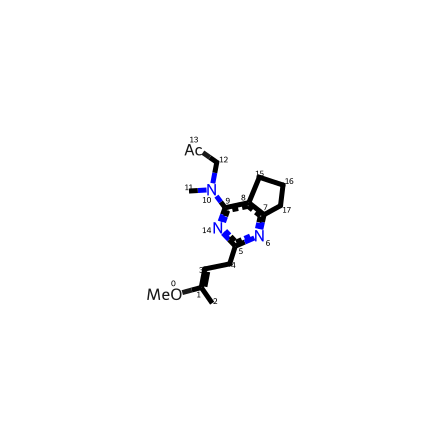 CO/C(C)=C/Cc1nc2c(c(N(C)CC(C)=O)n1)CCC2